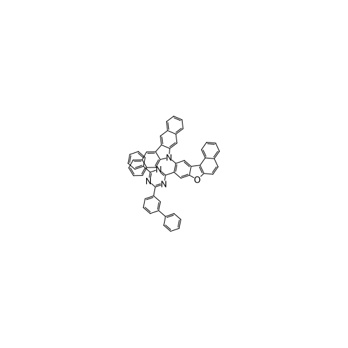 c1ccc(-c2cccc(-c3nc(-c4ccccc4)nc(-c4cc5oc6ccc7ccccc7c6c5cc4-n4c5cc6ccccc6cc5c5cc6ccccc6cc54)n3)c2)cc1